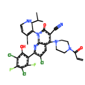 C=CC(=O)N1CCN(c2c(C#N)c(=O)n(C3=C(C)C=CNC3C(C)C)c3nc(-c4c(O)c(Cl)c(F)c(Cl)c4F)c(Cl)cc23)CC1